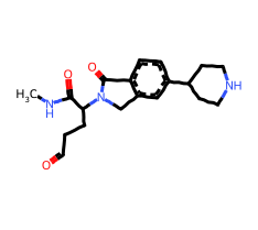 CNC(=O)C(CCC=O)N1Cc2cc(C3CCNCC3)ccc2C1=O